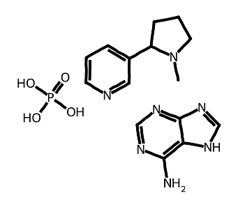 CN1CCCC1c1cccnc1.Nc1ncnc2nc[nH]c12.O=P(O)(O)O